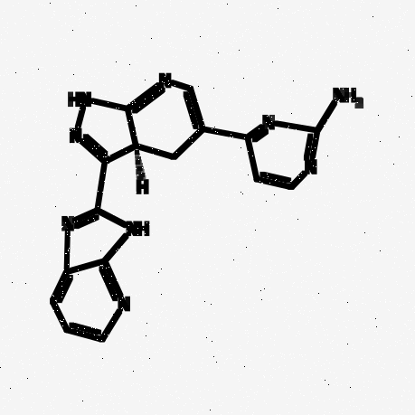 Nc1nccc(C2=CN=C3NN=C(c4nc5cccnc5[nH]4)[C@@H]3C2)n1